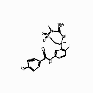 CN1C(=N)N[C@](C)(c2cc(NC(=O)c3ccc(Cl)cc3)ccc2F)CS1(=O)=O